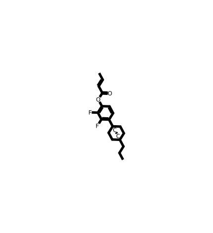 C/C=C/C(=O)Oc1ccc(C23CCC(CCC)(CC2)CC3)c(F)c1F